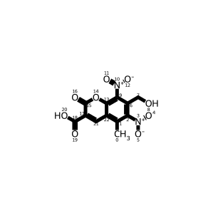 Cc1c([N+](=O)[O-])c(CO)c([N+](=O)[O-])c2oc(=O)c(C(=O)O)cc12